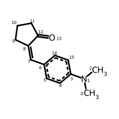 CN(C)c1ccc(C=C2CCCC2=O)cc1